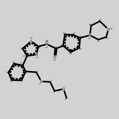 COCCOCc1ccccc1-c1csc(NC(=O)c2ccc(N3CCOCC3)cc2)n1